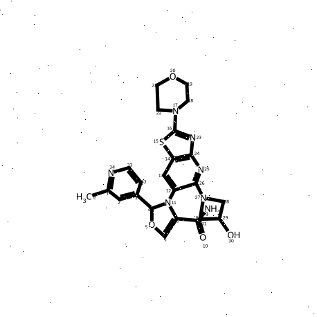 Cc1cc(C2OC=C(C(N)=O)N2c2cc3sc(N4CCOCC4)nc3nc2N2CC(O)C2)ccn1